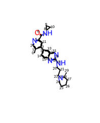 Cc1cnc(C(=O)NC2CC2)cc1-c1ccc2nc(NCCCN3CCCC[C@@H]3C)ncc2c1